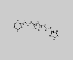 [C]1N(CCCN2CC=CCC2)CCN1CCCN1CCCC1